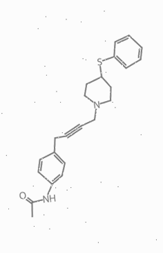 CC(=O)Nc1ccc(CC#CCN2CCC(Sc3ccccc3)CC2)cc1